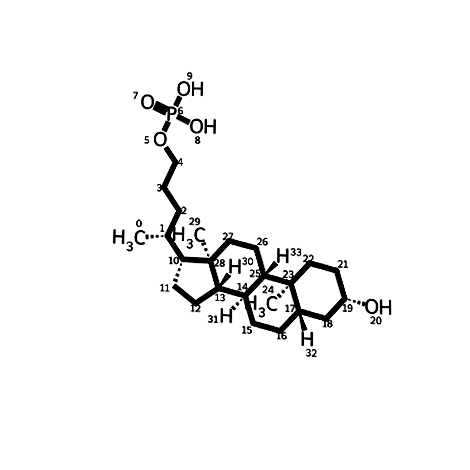 C[C@H](CCCOP(=O)(O)O)[C@H]1CC[C@H]2[C@@H]3CC[C@H]4C[C@@H](O)CC[C@]4(C)[C@H]3CC[C@]12C